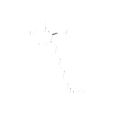 C=C(NCCC)C(Cl)CCCCCCCCCCCCCCCC